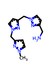 Cn1ccc(Cn2ccc(Cn3ccc(CN)n3)n2)n1